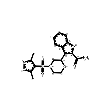 Cc1noc(C)c1S(=O)(=O)N1CCOC(c2c(C(N)=O)sc3ccccc23)C1